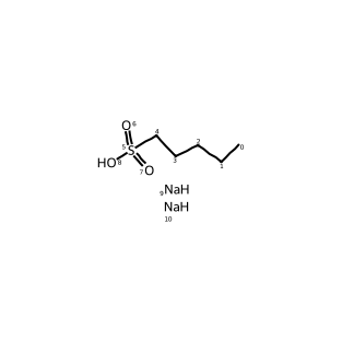 CCCCCS(=O)(=O)O.[NaH].[NaH]